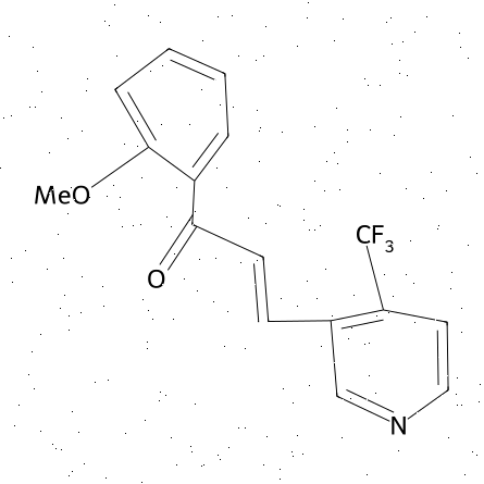 COc1ccccc1C(=O)C=Cc1cnccc1C(F)(F)F